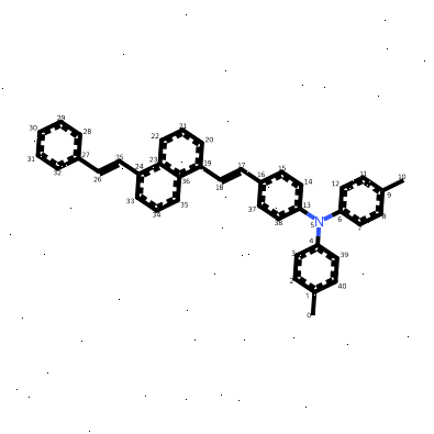 Cc1ccc(N(c2ccc(C)cc2)c2ccc(C=Cc3cccc4c(C=Cc5ccccc5)cccc34)cc2)cc1